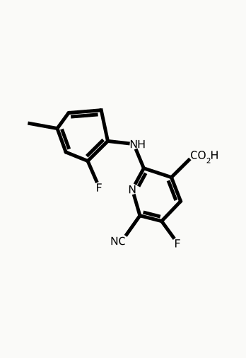 Cc1ccc(Nc2nc(C#N)c(F)cc2C(=O)O)c(F)c1